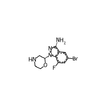 Nc1nn(C2CNCCO2)c2c(F)cc(Br)cc12